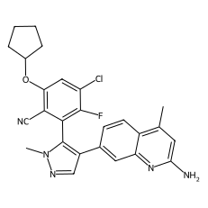 Cc1cc(N)nc2cc(-c3cnn(C)c3-c3c(F)c(Cl)cc(OC4CCCC4)c3C#N)ccc12